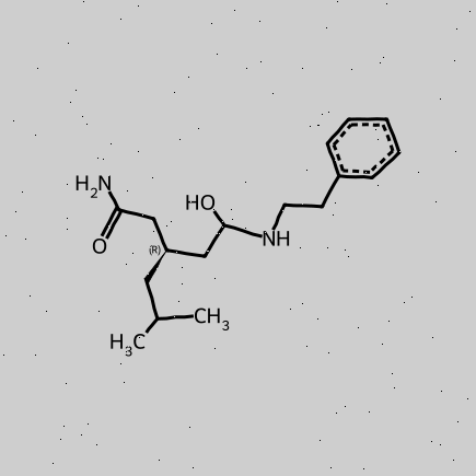 CC(C)C[C@@H](CC(N)=O)CC(O)NCCc1ccccc1